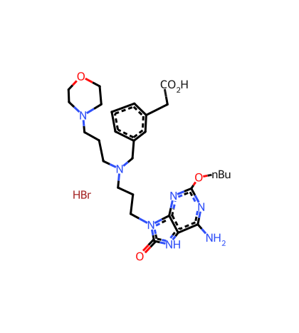 Br.CCCCOc1nc(N)c2[nH]c(=O)n(CCCN(CCCN3CCOCC3)Cc3cccc(CC(=O)O)c3)c2n1